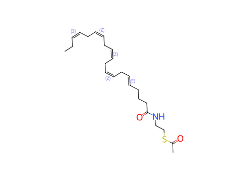 CC/C=C\C/C=C\C/C=C\C/C=C\C/C=C/CCCC(=O)NCCSC(C)=O